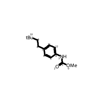 COC(=O)Nc1ccc(CCC(C)(C)C)cc1